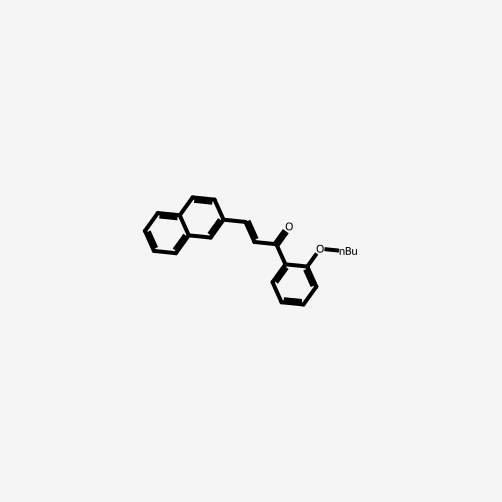 CCCCOc1ccccc1C(=O)C=Cc1ccc2ccccc2c1